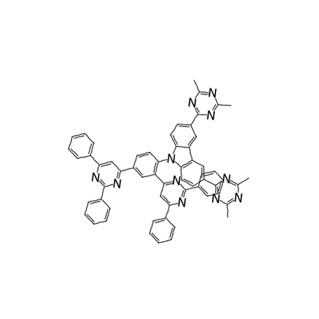 Cc1nc(C)nc(-c2ccc3c(c2)c2cc(-c4nc(C)nc(C)n4)ccc2n3-c2ccc(-c3cc(-c4ccccc4)nc(-c4ccccc4)n3)cc2-c2cc(-c3ccccc3)nc(-c3ccccc3)n2)n1